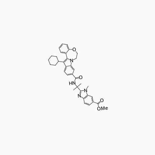 COC(=O)c1ccc2nc(C(C)(C)NC(=O)c3ccc4c(C5CCCCC5)c5n(c4c3)CCOc3ccccc3-5)n(C)c2c1